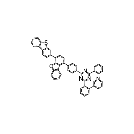 c1ccc(-c2nc(-c3ccc(-c4ccc(-c5ccc6c(c5)sc5ccccc56)c5oc6ccccc6c45)cc3)nc(-c3ccccc3-c3cccnc3)n2)cc1